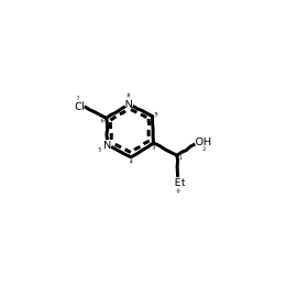 CCC(O)c1cnc(Cl)nc1